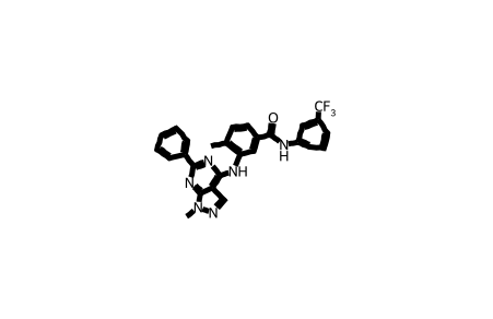 Cc1ccc(C(=O)Nc2cccc(C(F)(F)F)c2)cc1Nc1nc(-c2ccccc2)nc2c1cnn2C